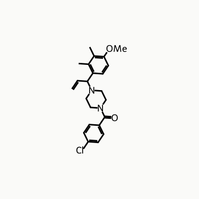 C=CC(c1ccc(OC)c(C)c1C)N1CCN(C(=O)c2ccc(Cl)cc2)CC1